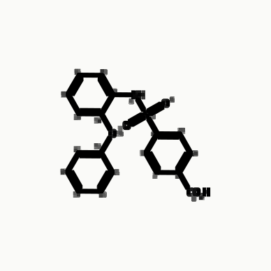 O=C(O)c1ccc(S(=O)(=O)Nc2ccccc2Oc2ccccc2)cc1